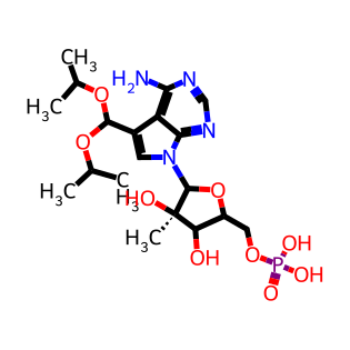 CC(C)OC(OC(C)C)c1cn(C2OC(COP(=O)(O)O)C(O)[C@@]2(C)O)c2ncnc(N)c12